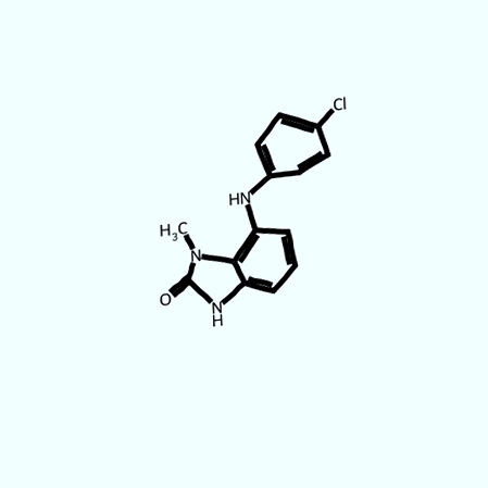 Cn1c(=O)[nH]c2cccc(Nc3ccc(Cl)cc3)c21